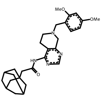 COc1ccc(CN2CCc3c(ncnc3NC(=O)CC34CC5CC(CC(C5)C3)C4)C2)c(OC)c1